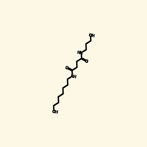 O=C(CCC(=O)NCCCCCCCO)NCCCO